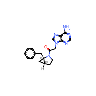 Nc1ncnc2c1ncn2CC(=O)N1CC[C@@H]2C[C@@]21Cc1ccccc1